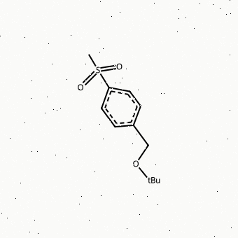 CC(C)(C)OCc1ccc(S(C)(=O)=O)cc1